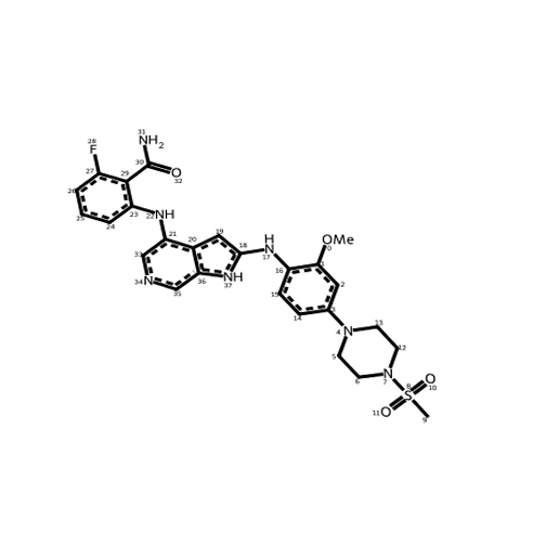 COc1cc(N2CCN(S(C)(=O)=O)CC2)ccc1Nc1cc2c(Nc3cccc(F)c3C(N)=O)cncc2[nH]1